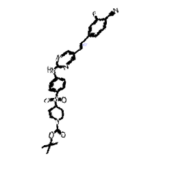 CC(C)(C)OC(=O)N1CCC(S(=O)(=O)c2ccc(Nc3ncc(/C=C/c4ccc(C#N)c(F)c4)cn3)cc2)CC1